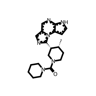 C[C@@H]1CCN(C(=O)N2CCCCC2)C[C@@H]1c1ncc2cnc3[nH]ccc3n12